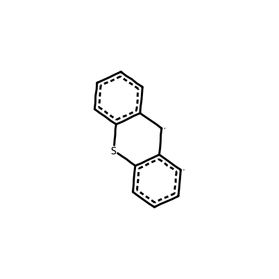 [c]1cccc2c1[CH]c1ccccc1S2